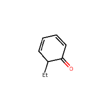 [CH2]CC1C=CC=CC1=O